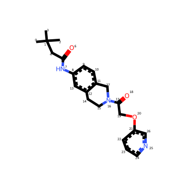 CC(C)(C)CC(=O)Nc1ccc2c(c1)CCN(C(=O)COc1cccnc1)C2